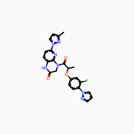 Cc1ccn(-c2ccc3c(n2)N(C(=O)C(C)Oc2ccc(-n4cccn4)c(F)c2)CC(=O)N3)n1